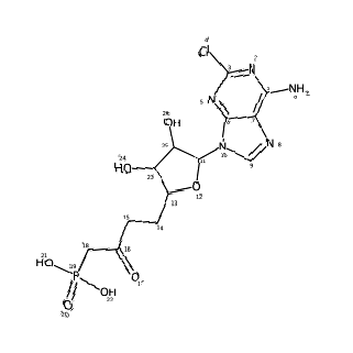 Nc1nc(Cl)nc2c1ncn2C1OC(CCC(=O)CP(=O)(O)O)C(O)C1O